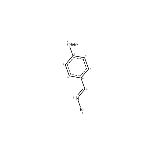 COc1ccc(C=NBr)cc1